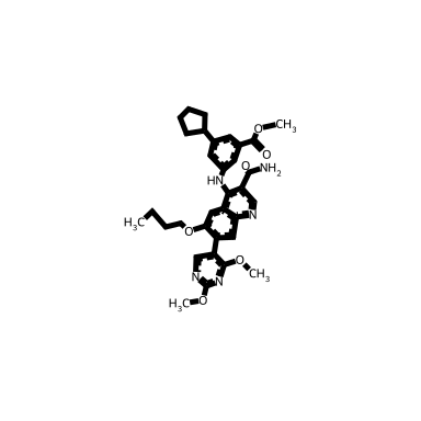 CCCCOc1cc2c(Nc3cc(C(=O)OC)cc(C4CCCC4)c3)c(C(N)=O)cnc2cc1-c1cnc(OC)nc1OC